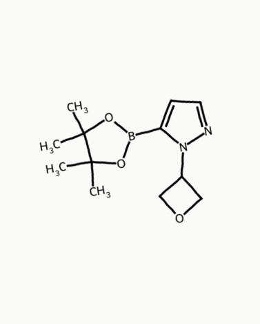 CC1(C)OB(c2ccnn2C2COC2)OC1(C)C